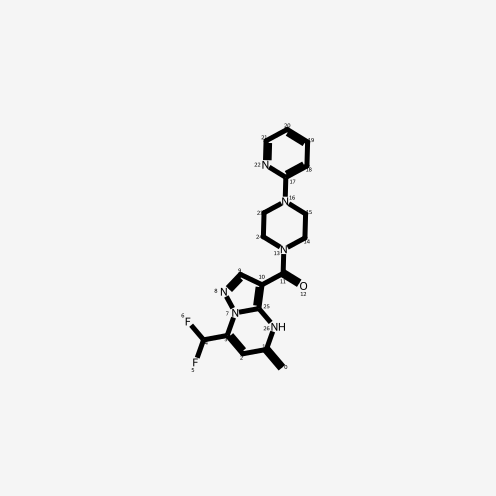 C=C1C=C(C(F)F)n2ncc(C(=O)N3CCN(c4ccccn4)CC3)c2N1